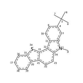 Cn1c2cc(C(C)(C)C)ccc2c2c3sc4ccccc4c3ccc21